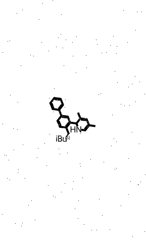 CC[C@H](C)Cc1ccc(-c2ccccc2)cc1C1NC=C(C)C=C1C